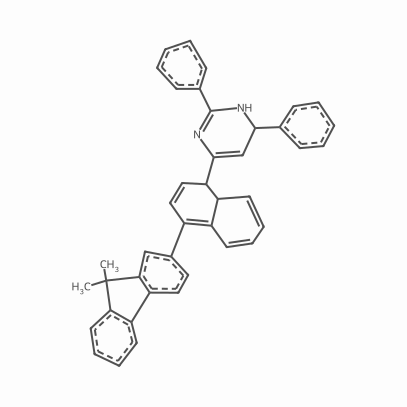 CC1(C)c2ccccc2-c2ccc(C3=C4C=CC=CC4C(C4=CC(c5ccccc5)NC(c5ccccc5)=N4)C=C3)cc21